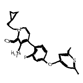 Cc1cc(Oc2ccc(-c3ccn(CC4CC4)c(=O)c3N)c(F)c2)cc(C)n1